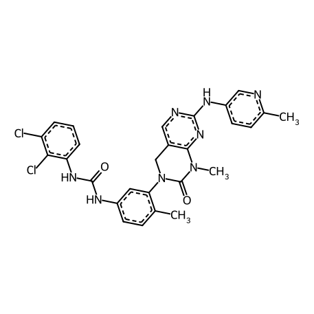 Cc1ccc(Nc2ncc3c(n2)N(C)C(=O)N(c2cc(NC(=O)Nc4cccc(Cl)c4Cl)ccc2C)C3)cn1